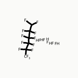 F.F.F.F.F.FC(F)C(F)(F)C(F)(F)C(F)(F)C(F)(F)C(F)(F)F